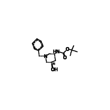 CC(C)(C)OC(=O)NC1C[C@@H](O)CN(Cc2ccccc2)C1